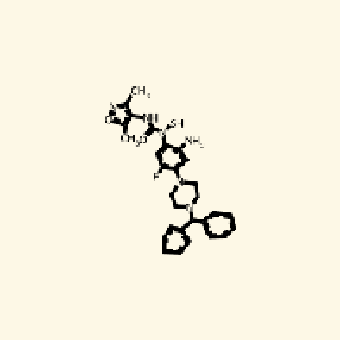 Cc1noc(C)c1NC(=O)N(S)c1cc(F)c(N2CCN(C(c3ccccc3)c3ccccc3)CC2)cc1N